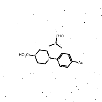 CC(=O)c1ccc(N2CCN(C(=O)O)CC2)cc1.CN(C)C=O